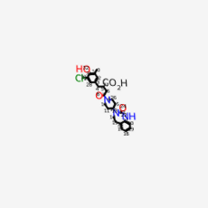 Cc1cc(C[C@@H](CC(=O)N2CCC(N3CCc4ccccc4NC3=O)CC2)C(=O)O)cc(Cl)c1O